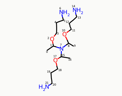 CC(OCCCN)N(C(C)OCCCN)C(C)OCCCN